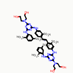 O=S(=O)(O)c1ccc(S(=O)(=O)O)c(Nc2nc(Nc3ccc(/C=C/c4ccc(Nc5nc(Nc6cc(S(=O)(=O)O)ccc6S(=O)(=O)O)nc(N(CCO)CCO)n5)cc4S(=O)(=O)O)c(S(=O)(=O)O)c3)nc(N(CCO)CCO)n2)c1